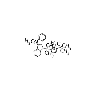 Cn1c2c(c3ccccc31)C(C(C)(C)C1=CC(C(C)(C)C)=CC1)c1ccccc1-2